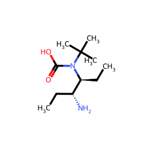 CC[C@@H](N)[C@H](CC)N(C(=O)O)C(C)(C)C